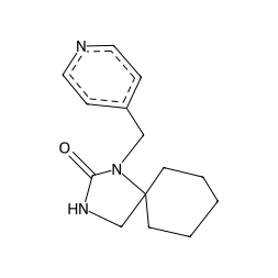 O=C1NCC2(CCCCC2)N1Cc1ccncc1